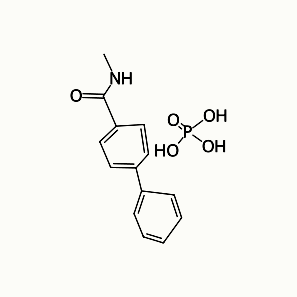 CNC(=O)c1ccc(-c2ccccc2)cc1.O=P(O)(O)O